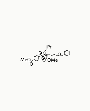 COC(=O)c1ccc(S(=O)(=O)N(CCC(C)C)[C@H](CCCCOCc2ccccc2)C(=O)OC)cc1